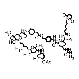 CC(=O)O[C@@H](C)/C=C\C(=O)N[C@@H]1C[C@H](C)[C@H](C/C=C(C)/C=C/[C@H]2O[C@H](CC(=O)N[C@H]3CC[C@H](CC(=O)OCc4ccc(NC(=O)[C@H](CCCNC(N)=O)NC(=O)[C@@H](NC(=O)CCCCCN5C(=O)C=CC5=O)C(C)C)cc4)CC3)C[C@]3(O[C@@H]3C)[C@@H]2O)O[C@@H]1C